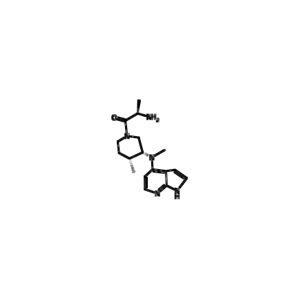 C[C@@H]1CCN(C(=O)[C@@H](C)N)C[C@@H]1N(C)c1ccnc2[nH]ccc12